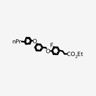 CCCc1ccc(Oc2cccc(COc3ccc(CCC(=O)OCC)cc3F)c2)cc1